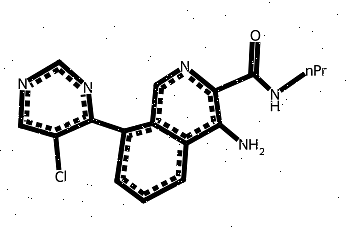 CCCNC(=O)c1ncc2c(-c3ncncc3Cl)cccc2c1N